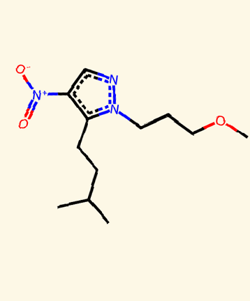 COCCCn1ncc([N+](=O)[O-])c1CCC(C)C